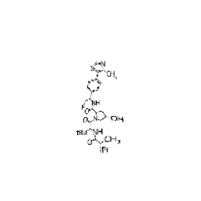 Cc1ncsc1-c1ccc(C(CF)NC(=O)C2CC(O)CN2C(=O)C(NC(=O)C(C)C(C)C)C(C)(C)C)cc1